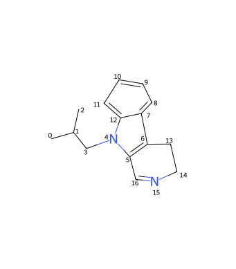 CC(C)Cn1c2c(c3ccccc31)CCN=C2